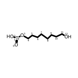 [O]=[Ti]([OH])[O]CCCCCCCCO